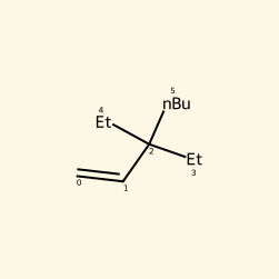 C=CC(CC)(CC)CCCC